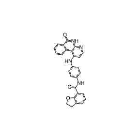 O=C(Nc1ccc(Nc2ccnc3[nH]c(=O)c4ccccc4c23)cc1)c1cccc2c1OCC2